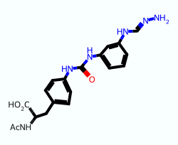 CC(=O)NC(Cc1ccc(NC(=O)Nc2cccc(NC=NN)c2)cc1)C(=O)O